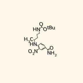 CC(CCCNC(=O)OC(C)(C)C)Nc1ccc(C(N)=O)cc1[N+](=O)[O-]